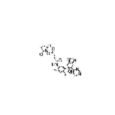 Cc1cncnc1[C@H](C)[C@](O)(Cn1cncn1)c1cc(NC(=O)CCC(=O)ON2C(=O)CCC2=O)c(F)cc1F